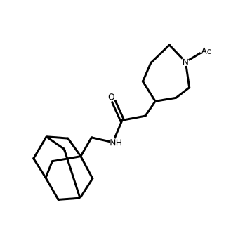 CC(=O)N1CCCC(CC(=O)NCC23CC4CC(CC(C4)C2)C3)CC1